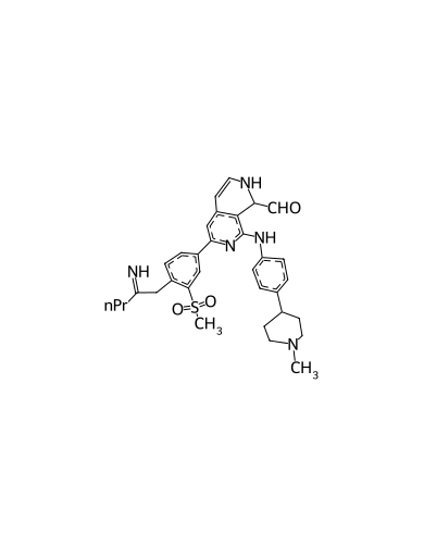 CCCC(=N)Cc1ccc(-c2cc3c(c(Nc4ccc(C5CCN(C)CC5)cc4)n2)C(C=O)NC=C3)cc1S(C)(=O)=O